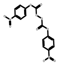 O=C(OOC(=O)Oc1ccc([N+](=O)[O-])cc1)Oc1ccc([N+](=O)[O-])cc1